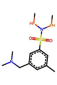 CPN(PC)S(=O)(=O)c1cc(C)cc(CN(C)C)c1